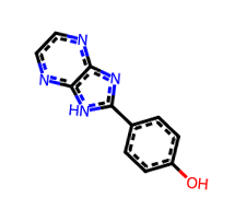 Oc1ccc(-c2nc3nccnc3[nH]2)cc1